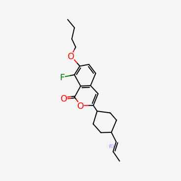 C/C=C/C1CCC(c2cc3ccc(OCCCC)c(F)c3c(=O)o2)CC1